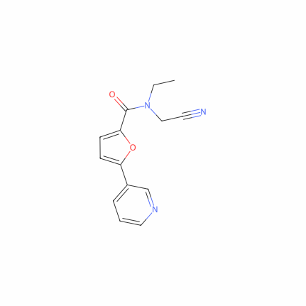 CCN(CC#N)C(=O)c1ccc(-c2cccnc2)o1